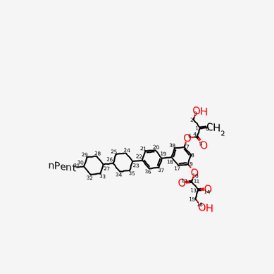 C=C(CO)C(=O)Oc1cc(OC(=O)C(=O)CO)cc(-c2ccc(C3CCC(C4CCC(CCCCC)CC4)CC3)cc2)c1